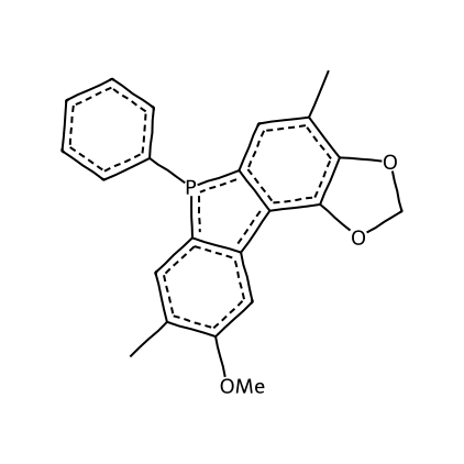 COc1cc2c3c4c(c(C)cc3p(-c3ccccc3)c2cc1C)OCO4